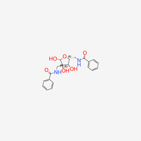 O=C(NC[C@H]1OC(O)[C@@](O)(CNC(=O)c2ccccc2)[C@@H]1O)c1ccccc1